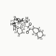 NC(CC(=O)C(=O)c1ccc2ccccc2c1)(C(=O)O)C1c2ccccc2N[C@@H]2CCC[C@H]12